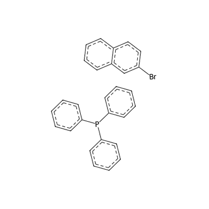 Brc1ccc2ccccc2c1.c1ccc(P(c2ccccc2)c2ccccc2)cc1